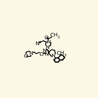 C=CC(=O)N1CCN(c2nc(OCCCN3CCOCC3)nc3c2CCCN(c2cccc4cccc(C)c24)C3)CC1CC#N